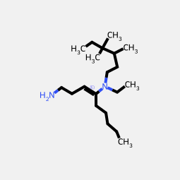 CCCCC/C(=C\CCN)N(CC)CCC(C)C(C)(C)CC